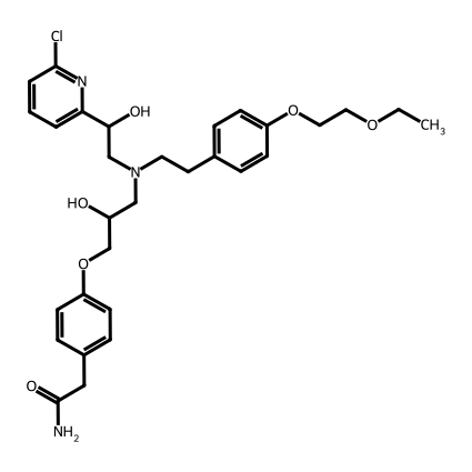 CCOCCOc1ccc(CCN(CC(O)COc2ccc(CC(N)=O)cc2)CC(O)c2cccc(Cl)n2)cc1